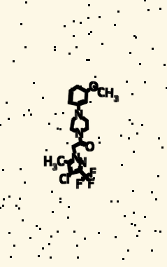 COC1C=C(N2CCN(C(=O)Cn3nc(C(F)(F)F)c(Cl)c3C)CC2)C=CC1